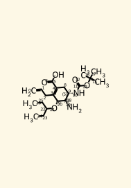 C=CCC1=C(C(=O)O)C[C@H](NC(=O)OC(C)(C)C)[C@@H](N)[C@@H]1OC(CC)CC